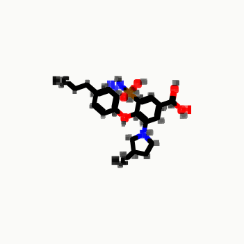 CCCc1ccc(Oc2c(N3CCC(C)C3)cc(C(=O)O)cc2S(N)(=O)=O)cc1